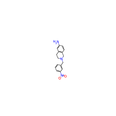 Nc1ccc2c(c1)CCN(Cc1cccc([N+](=O)[O-])c1)C2